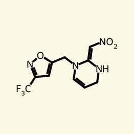 O=[N+]([O-])C=C1NCC=CN1Cc1cc(C(F)(F)F)no1